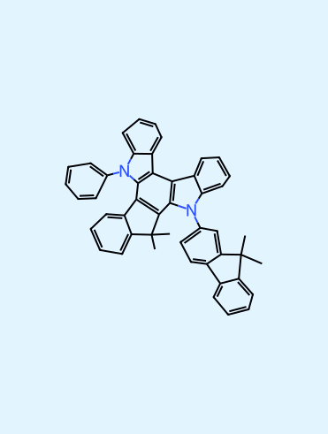 CC1(C)c2ccccc2-c2ccc(-n3c4ccccc4c4c5c6ccccc6n(-c6ccccc6)c5c5c(c43)C(C)(C)c3ccccc3-5)cc21